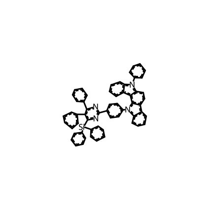 c1ccc(-c2nc(-c3ccc(-n4c5ccccc5c5ccc6c(c7ccccc7n6-c6ccccc6)c54)cc3)nc3c2-c2ccccc2[Si]3(c2ccccc2)c2ccccc2)cc1